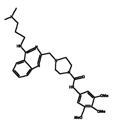 COc1cc(NC(=O)N2CCN(Cc3nc(NCCCN(C)C)c4ccccc4n3)CC2)cc(OC)c1OC